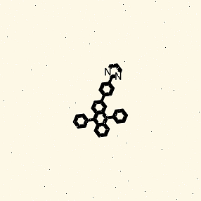 c1ccc(-c2c3ccccc3c(-c3ccccc3)c3cc(-c4ccc(-c5ncccn5)cc4)ccc23)cc1